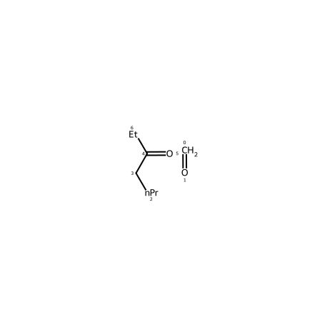 C=O.CCCCC(=O)CC